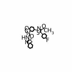 CC(=O)c1nc(-c2ccc3c(c2)N(C(=O)Nc2nc4ccccc4s2)CCO3)sc1-c1ccc(F)cc1